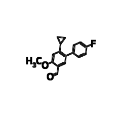 COc1cc(C2CC2)c(-c2ccc(F)cc2)cc1C=O